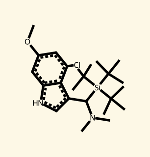 COc1cc(Cl)c2c(C(N(C)C)[Si](C(C)(C)C)(C(C)(C)C)C(C)(C)C)c[nH]c2c1